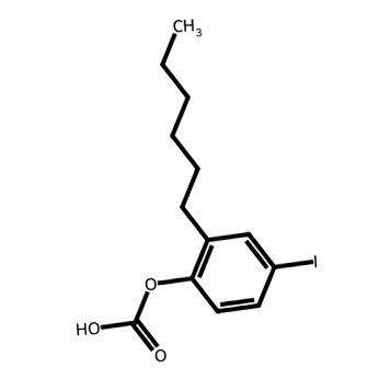 CCCCCCc1cc(I)ccc1OC(=O)O